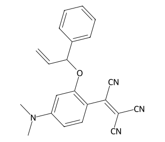 C=CC(Oc1cc(N(C)C)ccc1C(C#N)=C(C#N)C#N)c1ccccc1